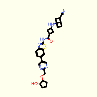 N#CC12CC3(NC4CC(C(=O)Nc5nc6ccc(-c7cnc(CO[C@H]8CCC[C@@H]8O)nc7)cc6s5)C4)CC1C32